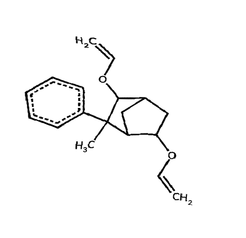 C=COC1CC2CC1C(C)(c1ccccc1)C2OC=C